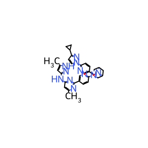 Cc1cc(Nc2cc(C)[nH]n2)nc(-c2ccc(N3CC4CC(C3)N4Cc3ccc(-n4ccc(C5CC5)n4)nc3)nc2)n1